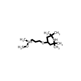 C[SiH](CCCOC1CC(C)(C)NC(C)(C)C1)O[SiH3]